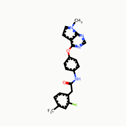 Cn1ccc2c(Oc3ccc(NC(=O)Cc4ccc(C(F)(F)F)cc4F)cc3)ncnc21